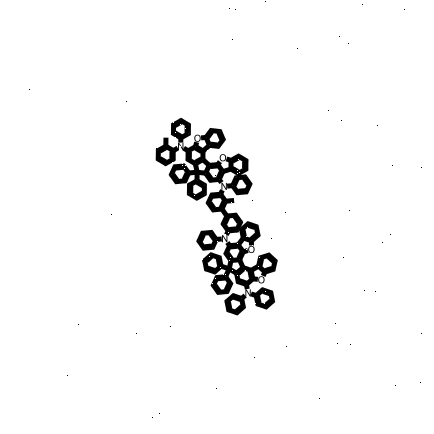 Cc1ccccc1N(c1ccccc1)c1cc2c(c3c1oc1ccccc13)-c1c(cc(N(c3ccccc3)c3cccc(-c4cccc(N(c5ccccc5)c5cc6c(c7oc8ccccc8c57)-c5c(cc(N(c7ccccc7)c7ccccc7)c7oc8ccccc8c57)C6(c5ccccc5)c5ccccc5)c4)c3C)c3c1oc1ccccc13)C2(c1ccccc1)c1ccccc1